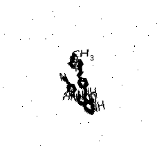 CCN1CCN(CCc2ccc(Nc3nc(Nc4ccc(C#N)cn4)cc4cc[nH]c(=O)c34)cc2)CC1